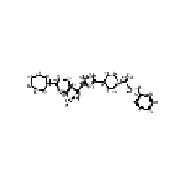 Cn1nc(-c2nnc(C3CCN(C(=O)OCc4ccccc4)CC3)o2)c2ccc(N3CCCCCC3)nc21